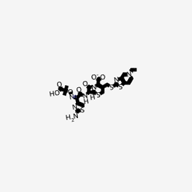 CC[n+]1ccc2sc(SCC3=C(C(=O)[O-])N4C(=O)C(NC(=O)/C(=N\OC(C)(C)C(=O)O)c5csc(N)n5)[C@@H]4SC3)nc2c1